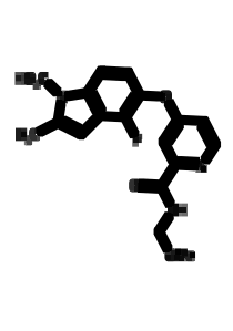 COCNC(=O)c1cc(Oc2ccc3c(cc(C)n3C(=O)O)c2F)ccn1